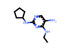 [CH2]CNc1nc(NC2CCCC2)ncc1N